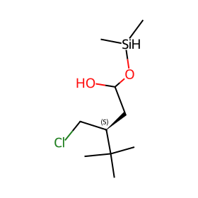 C[SiH](C)OC(O)C[C@H](CCl)C(C)(C)C